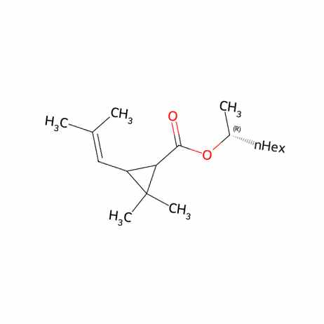 CCCCCC[C@@H](C)OC(=O)C1C(C=C(C)C)C1(C)C